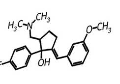 COc1cccc(/C=C2\CCC(CN(C)C)C2(O)c2ccc(F)cc2)c1